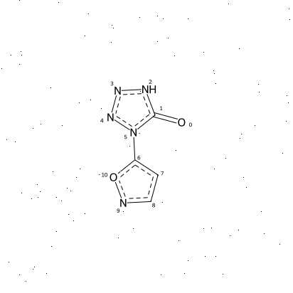 O=c1[nH]nnn1-c1ccno1